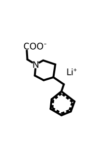 O=C([O-])CN1CCC(Cc2ccccc2)CC1.[Li+]